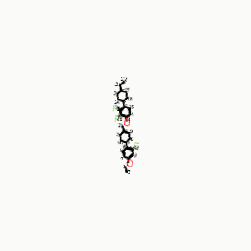 CCOc1ccc(C2CCC(COc3ccc(C4CCC(CC)CC4)c(F)c3F)CC2)c(F)c1